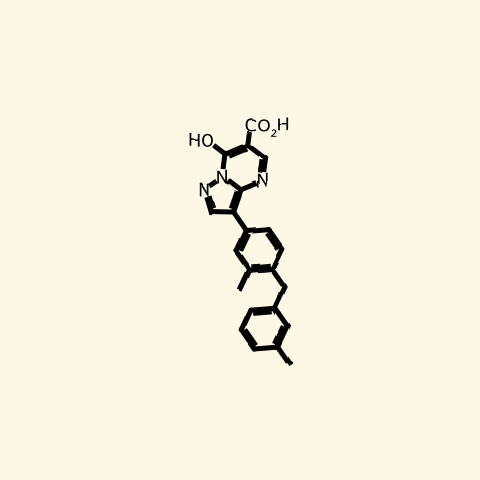 Cc1cccc(Cc2ccc(-c3cnn4c(O)c(C(=O)O)cnc34)cc2C)c1